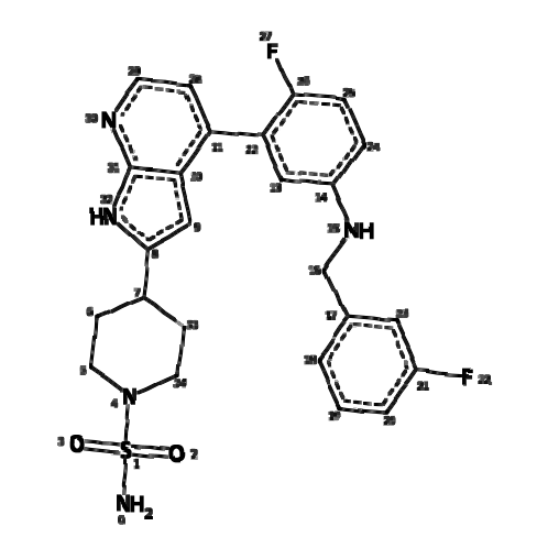 NS(=O)(=O)N1CCC(c2cc3c(-c4cc(NCc5cccc(F)c5)ccc4F)ccnc3[nH]2)CC1